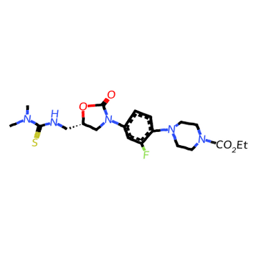 CCOC(=O)N1CCN(c2ccc(N3C[C@H](CNC(=S)N(C)C)OC3=O)cc2F)CC1